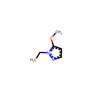 CCn1n[c]cc1OC